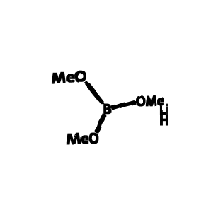 COB(OC)OC.[LiH]